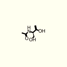 C=C(O)[C@@H](CO)NC(C)=O